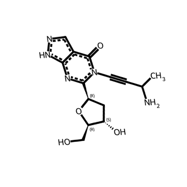 CC(N)C#Cn1c([C@H]2C[C@H](O)[C@@H](CO)O2)nc2[nH]ncc2c1=O